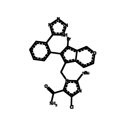 CCCCc1nc(Cl)c(C(N)=O)n1Cc1c2ccocc-2c(Br)c1-c1ccccc1-c1nnn[nH]1